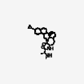 CN[C@@H](C)C(=O)NC1CCc2ccccc2N(Cc2c(OC)ccc3cc(C4CC4)ccc23)C1=O